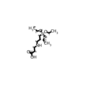 CCO[Si](CCCNCCC(=O)O)(OCC)OCC